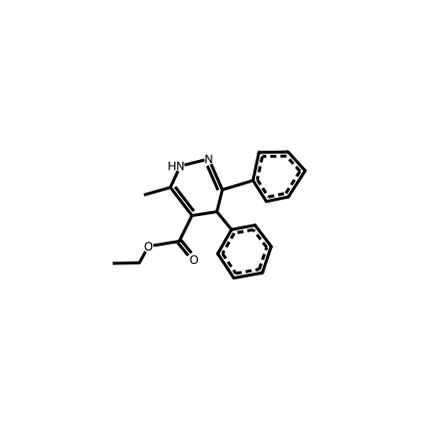 CCOC(=O)C1=C(C)NN=C(c2ccccc2)C1c1ccccc1